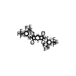 O=c1c2cc3c(=O)n(Cc4cc(C(F)(F)F)cc(C(F)(F)F)c4)c(=O)c3cc2c(=O)n1Cc1cc(C(F)(F)F)cc(C(F)(F)F)c1